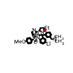 CCOc1ccc(CN(C)C)cc1C1(N2CCC[C@H]2c2ncco2)C(=O)N(S(=O)(=O)c2ccc(OC)cc2)c2ccc(Cl)cc21